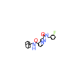 CN(Cc1cccc(F)c1)C(=O)c1cc2c(C(=O)NCC34CC5CC(CC(C5)C3)C4)cccn2n1